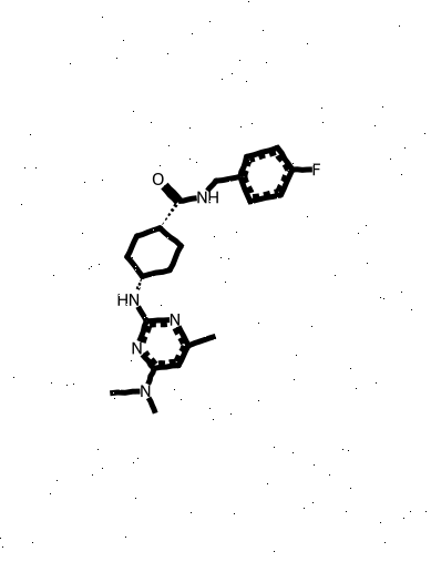 Cc1cc(N(C)C)nc(N[C@H]2CC[C@@H](C(=O)NCc3ccc(F)cc3)CC2)n1